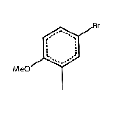 COc1ccc(Br)cc1I